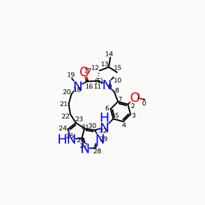 COc1ccc2cc1CN(C)[C@@H](CC(C)C)C(=O)N(C)CCCc1c[nH]c3ncnc(c13)N2